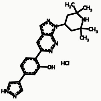 CC1(C)CC(n2ncc3cc(-c4ccc(-c5cn[nH]c5)cc4O)nnc32)CC(C)(C)N1.Cl